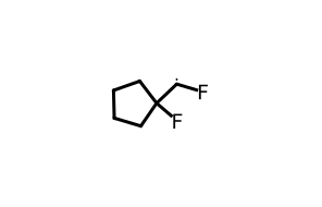 F[CH]C1(F)CCCC1